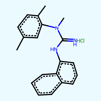 Cc1ccc(C)c(N(C)C(=N)Nc2cccc3ccccc23)c1.Cl